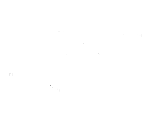 CCOc1c(C(=O)NCCOC)ccc2nn(CC3CCNCC3)cc12